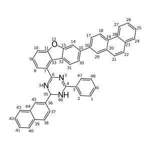 c1ccc(C2=NC(c3cccc4oc5cc(-c6ccc7c(ccc8ccccc87)c6)ccc5c34)=NC(c3ccc4ccccc4c3)N2)cc1